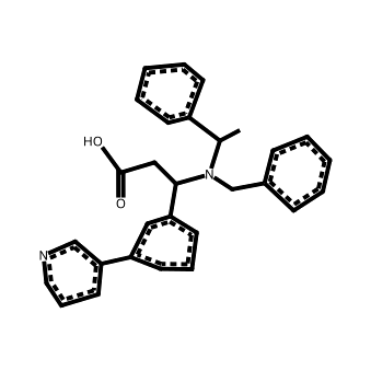 CC(c1ccccc1)N(Cc1ccccc1)C(CC(=O)O)c1cccc(-c2cccnc2)c1